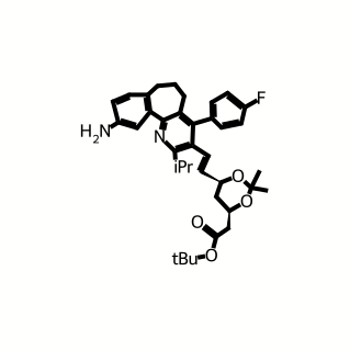 CC(C)c1nc2c(c(-c3ccc(F)cc3)c1/C=C/[C@@H]1C[C@H](CC(=O)OC(C)(C)C)OC(C)(C)O1)CCCc1ccc(N)cc1-2